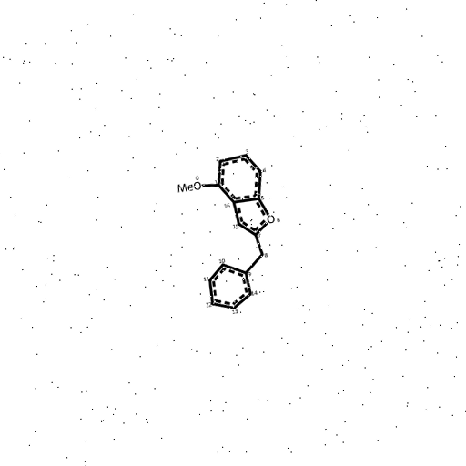 COc1cccc2oc(Cc3ccccc3)cc12